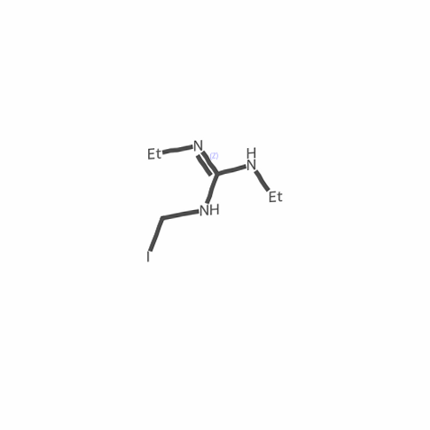 CC/N=C(/NCC)NCI